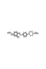 CCCCC1CCC(c2ccc(CSc3ccc(OCCC)cc3Cl)cc2)CC1